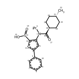 CC(C)N(c1cc(-c2ccccc2)sc1S(=O)O)C(=O)[C@H]1CC[C@H](C)CC1